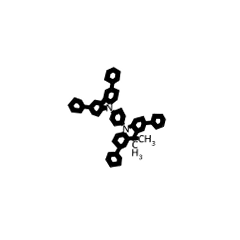 CC1(C)c2cc(-c3ccccc3)ccc2N(c2ccc(-n3c4ccc(-c5ccccc5)cc4c4cc(-c5ccccc5)ccc43)cc2)c2ccc(-c3ccccc3)cc21